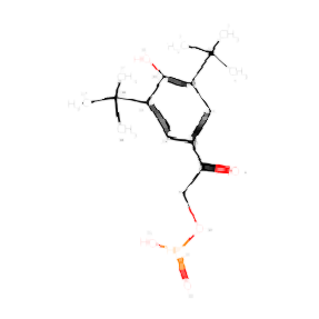 CC(C)(C)c1cc(C(=O)CO[PH](=O)O)cc(C(C)(C)C)c1O